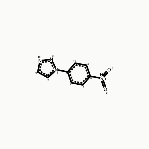 O=[SH](=O)c1ccc(-n2ccnn2)cc1